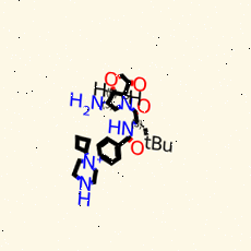 CC(C)(C)C[C@H](NC(=O)c1ccc([N+]2(C3CCC3)CCNCC2)cc1)C(=O)N1C[C@H](N)[C@H]2OCC(=O)[C@H]21